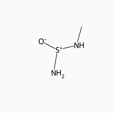 CN[S+](N)[O-]